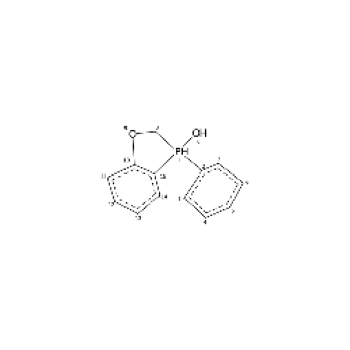 O[PH]1(c2ccccc2)COc2ccc[c]c21